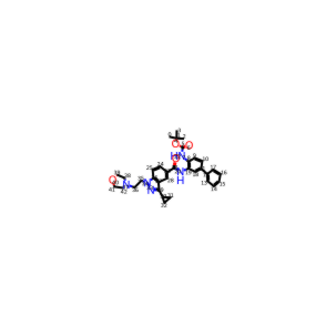 CC(C)(C)OC(=O)Nc1ccc(-c2ccccc2)cc1NC(=O)c1ccc2c(c1)c(C1CC1)nn2CCN1CCOCC1